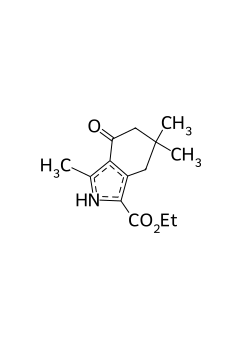 CCOC(=O)c1[nH]c(C)c2c1CC(C)(C)CC2=O